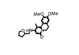 COc1cc2c(cc1OC)-c1c(C)c(NCC3CCCO3)cc(=O)n1CC2